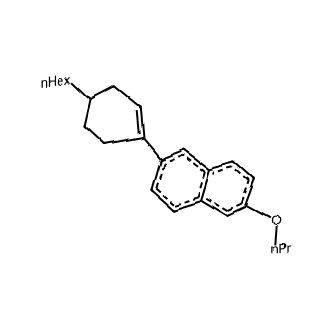 CCCCCCC1CC=C(c2ccc3cc(OCCC)ccc3c2)CC1